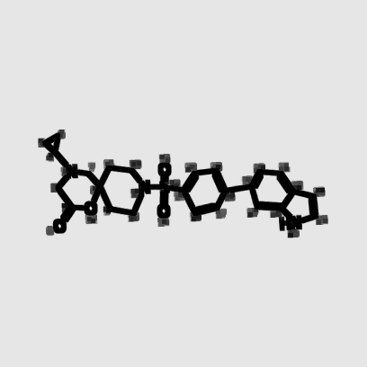 O=C1CN(C2CC2)CC2(CCN(S(=O)(=O)c3ccc(-c4ccc5cc[nH]c5c4)cc3)CC2)O1